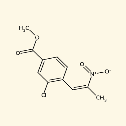 COC(=O)c1ccc(C=C(C)[N+](=O)[O-])c(Cl)c1